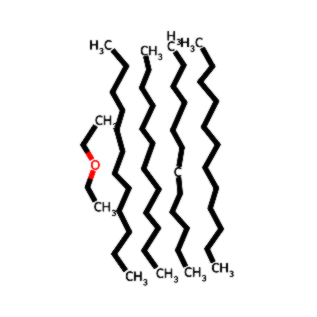 CCCCCCCCCCCC.CCCCCCCCCCCC.CCCCCCCCCCCC.CCCCCCCCCCCC.CCOCC